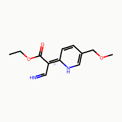 CCOC(=O)/C(C=N)=C1\C=CC(COC)=CN1